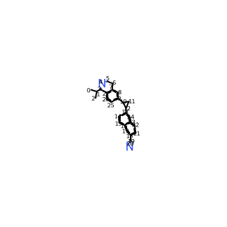 CC(C)C1=NCCc2cc(C3CC3c3ccc4cc(C#N)ccc4c3)ccc21